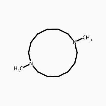 CN1CCCCCCN(C)CCCCCC1